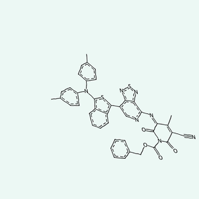 CC1=C(C#N)C(=O)N(C(=O)OCc2ccccc2)C(=O)/C1=N\c1ncc(-c2sc(N(c3ccc(C)cc3)c3ccc(C)cc3)c3ccccc23)c2nsnc12